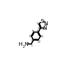 NCc1ccc(-c2csnn2)cc1